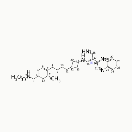 CONCC1=CC=C(CCCCC2CC(N/C=C(\C=N)c3cnc4ccccc4n3)C2)C(C)C1